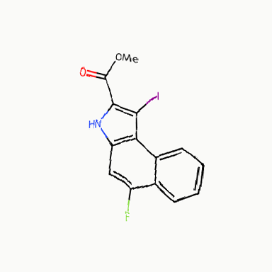 COC(=O)c1[nH]c2cc(F)c3ccccc3c2c1I